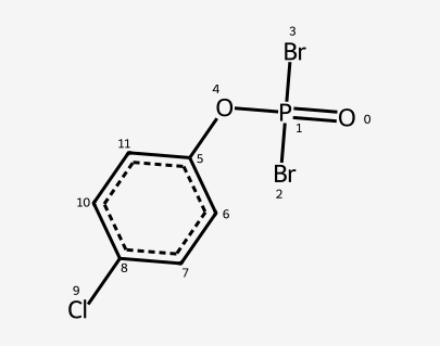 O=P(Br)(Br)Oc1ccc(Cl)cc1